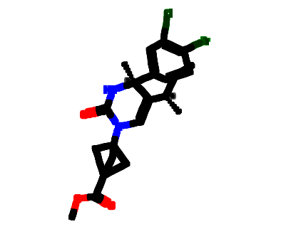 CC[C@H](C)C1=CN(C23CC(C(=O)OC)(C2)C3)C(=O)N[C@@]1(C)c1ccc(Br)c(Cl)c1